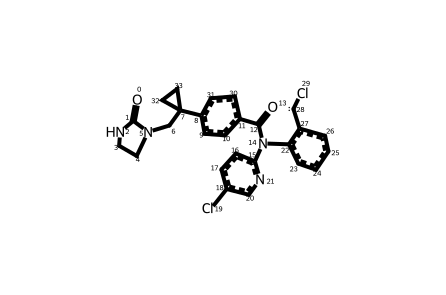 O=C1NCCN1CC1(c2ccc(C(=O)N(c3ccc(Cl)cn3)c3ccccc3[C]Cl)cc2)CC1